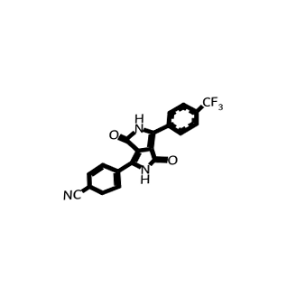 N#CC1C=CC(C2=C3C(=O)NC(c4ccc(C(F)(F)F)cc4)=C3C(=O)N2)=CC1